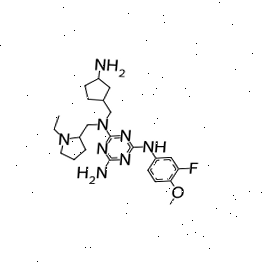 CCN1CCCC1CN(CC1CCC(N)C1)c1nc(N)nc(Nc2ccc(OC)c(F)c2)n1